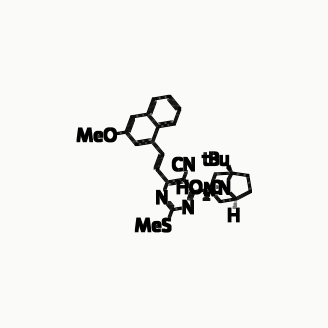 COc1cc(/C=C/c2nc(SC)nc(N3C[C@@H]4CC[C@@](C(C)(C)C)(C3)N4C(=O)O)c2C#N)c2ccccc2c1